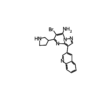 Nc1c(Br)c(C2CCNC2)nc2c(-c3cnc4ccccc4c3)cnn12